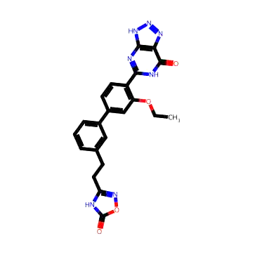 CCOc1cc(-c2cccc(CCc3noc(=O)[nH]3)c2)ccc1-c1nc2[nH]nnc2c(=O)[nH]1